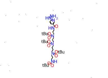 CC(C)(C)OC(=O)NCCCN(CCCCN(CCCN(CCCNC(=O)c1ccc(NN)nc1)C(=O)OC(C)(C)C)C(=O)OC(C)(C)C)C(=O)OC(C)(C)C